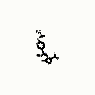 C=N/C(=C\n1c(C)nnc1C(F)F)c1ccc(O[C@H](C)C(F)(F)F)nc1